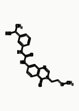 COCCn1cnc2cc(NC(=O)Nc3cccc(C(C)O)c3)ccc2c1=O